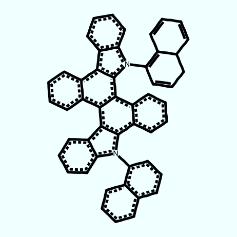 C1=CC2=C(n3c4ccccc4c4c5ccccc5c5c(c6ccccc6c6c5c5ccccc5n6-c5cccc6ccccc56)c43)C=CCC2C=C1